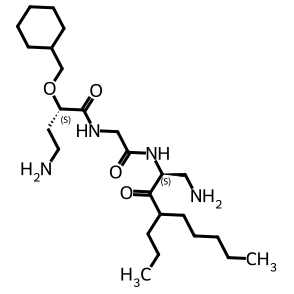 CCCCCC(CCC)C(=O)[C@H](CN)NC(=O)CNC(=O)[C@H](CCN)OCC1CCCCC1